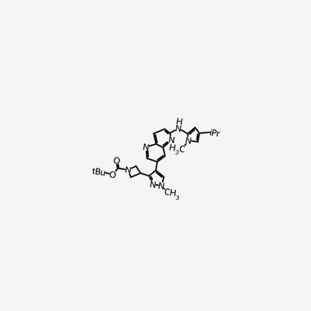 CC(C)c1cc(Nc2ccc3ncc(-c4cn(C)nc4C4CN(C(=O)OC(C)(C)C)C4)cc3n2)n(C)c1